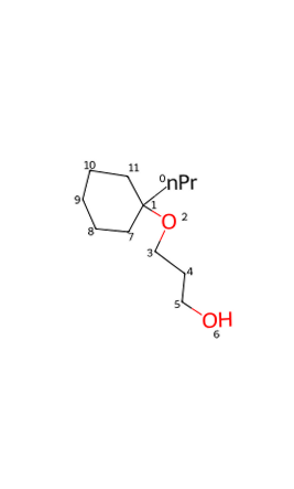 CCCC1(OCCCO)CCCCC1